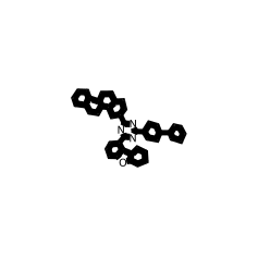 c1ccc(-c2ccc(-c3nc(-c4ccc5ccc6c7ccccc7ccc6c5c4)nc(-c4cccc5oc6ccccc6c45)n3)cc2)cc1